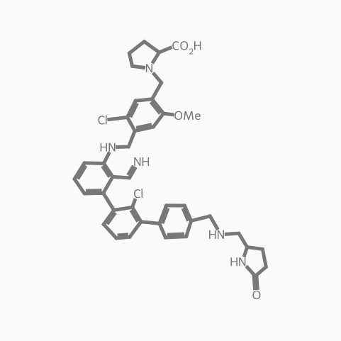 COc1cc(CNc2cccc(-c3cccc(-c4ccc(CNCC5CCC(=O)N5)cc4)c3Cl)c2C=N)c(Cl)cc1CN1CCCC1C(=O)O